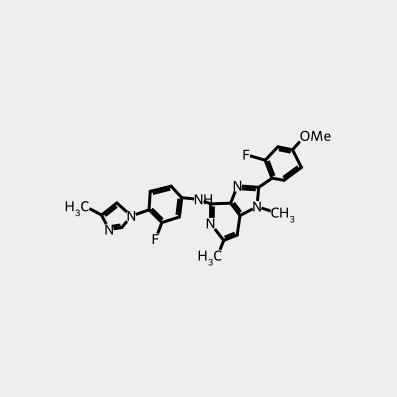 COc1ccc(-c2nc3c(Nc4ccc(-n5cnc(C)c5)c(F)c4)nc(C)cc3n2C)c(F)c1